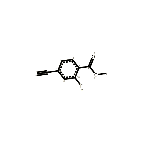 C#Cc1ccc(C(=O)OC)c(F)c1